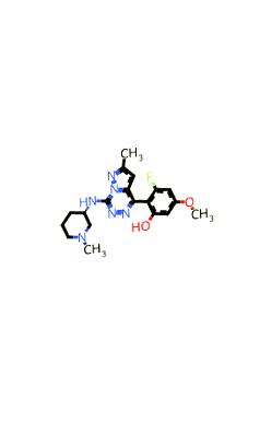 COc1cc(O)c(-c2nnc(N[C@@H]3CCCN(C)C3)n3nc(C)cc23)c(F)c1